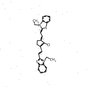 CCN1/C(=C/C=C2\CCC(/C=C/c3sc4ccccc4[n+]3CC)=C2Cl)Sc2ccccc21